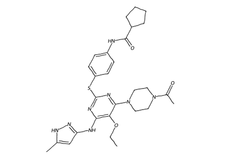 CCOc1c(Nc2cc(C)[nH]n2)nc(Sc2ccc(NC(=O)C3CCCC3)cc2)nc1N1CCN(C(C)=O)CC1